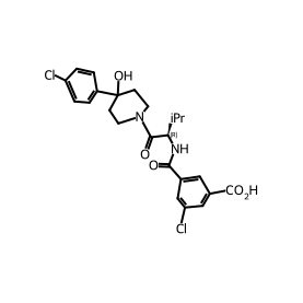 CC(C)[C@@H](NC(=O)c1cc(Cl)cc(C(=O)O)c1)C(=O)N1CCC(O)(c2ccc(Cl)cc2)CC1